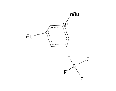 CCCC[n+]1cccc(CC)c1.F[B-](F)(F)F